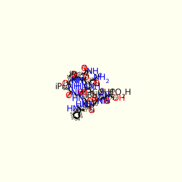 CC[C@H](C)[C@H](NC(=O)CNC(=O)[C@H](CC(C)C)NC(=O)[C@H](CC(C)C)NC(=O)[C@H](CCC(N)=O)NC(=O)[C@H](CCC(N)=O)NC(=O)[C@@H](N)CC(=O)O)C(=O)N[C@@H](Cc1c[nH]c2ccccc12)C(=O)NCC(=O)N[C@@H](CS)C(=O)N[C@@H](CO)C(=O)O